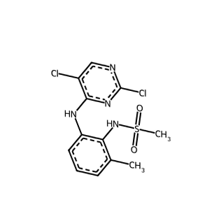 Cc1cccc(Nc2nc(Cl)ncc2Cl)c1NS(C)(=O)=O